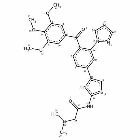 COc1cc(C(=O)c2ccc(-c3csc(NC(=O)CN(C)C)n3)cc2-n2cncn2)cc(OC)c1OC